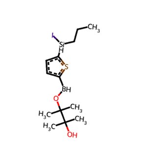 CCC[SiH](I)c1ccc(BOC(C)(C)C(C)(C)O)s1